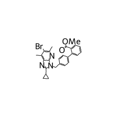 COC(=O)c1ccccc1-c1ccc(Cn2c(C3CC3)nc3c(C)c(Br)c(C)nc32)cc1